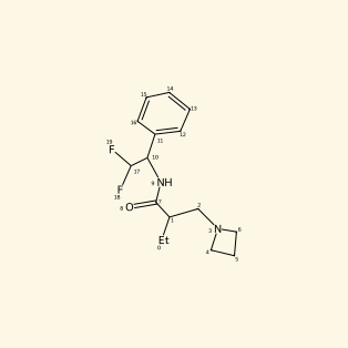 CCC(CN1CCC1)C(=O)NC(c1ccccc1)C(F)F